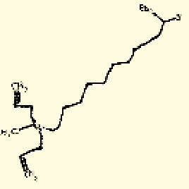 C=CC[N+](C)(CC=C)CCCCCCCCCC(Br)Br